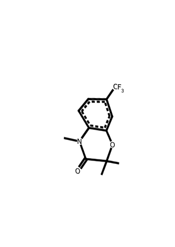 CN1C(=O)C(C)(C)Oc2cc(C(F)(F)F)ccc21